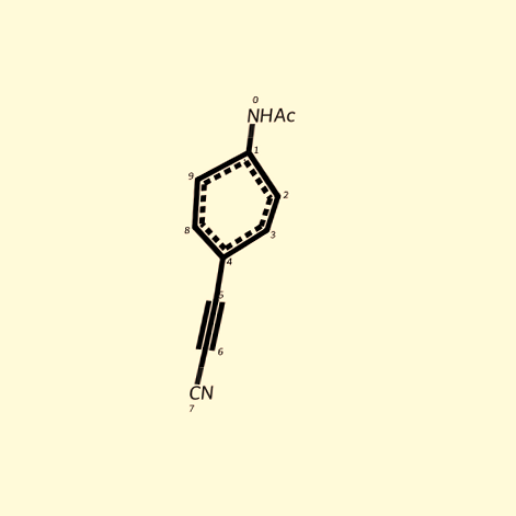 CC(=O)Nc1ccc(C#CC#N)cc1